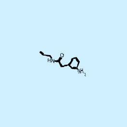 C=CCNC(=O)Cc1cccc(N)c1